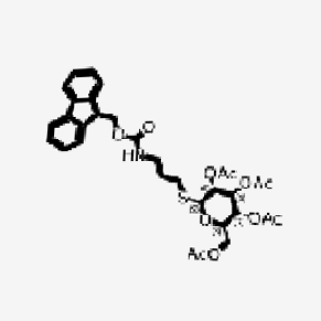 CC(=O)OC[C@H]1O[C@@H](SCCCNC(=O)OCC2c3ccccc3-c3ccccc32)[C@H](OC(C)=O)[C@@H](OC(C)=O)[C@@H]1OC(C)=O